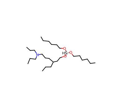 CCCCCCO[SiH](OCCCCCC)OCCC(CCC)CCCN(CCC)CCC